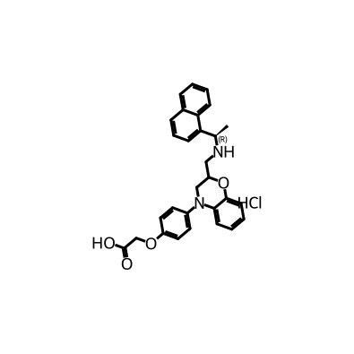 C[C@@H](NCC1CN(c2ccc(OCC(=O)O)cc2)c2ccccc2O1)c1cccc2ccccc12.Cl